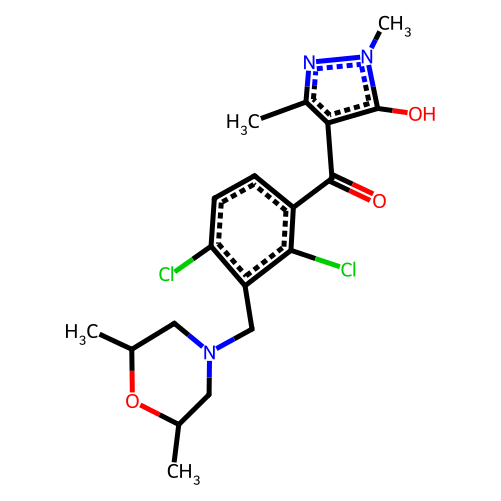 Cc1nn(C)c(O)c1C(=O)c1ccc(Cl)c(CN2CC(C)OC(C)C2)c1Cl